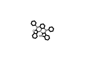 c1ccc(N2c3cccc4c3P(c3[nH]c5ccccc5c3N4c3ccccc3)c3c2oc2ccccc32)cc1